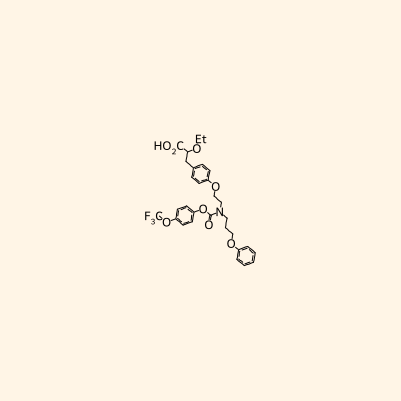 CCOC(Cc1ccc(OCCN(CCCOc2ccccc2)C(=O)Oc2ccc(OC(F)(F)F)cc2)cc1)C(=O)O